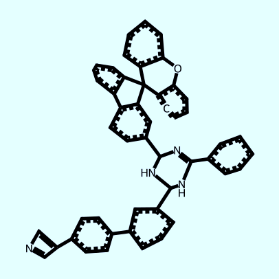 C1=NC=C1c1ccc(-c2cccc(C3NC(c4ccccc4)=NC(c4ccc5c(c4)C4(c6ccccc6Oc6ccccc64)c4ccccc4-5)N3)c2)cc1